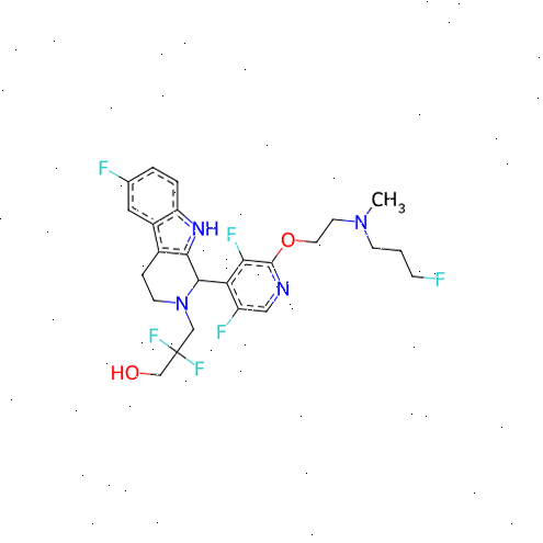 CN(CCCF)CCOc1ncc(F)c(C2c3[nH]c4ccc(F)cc4c3CCN2CC(F)(F)CO)c1F